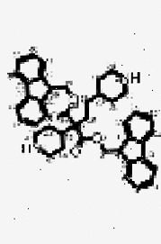 O=C(OCC1c2ccccc2-c2ccccc21)C(CCC1CCNCC1)(C(=O)OCC1c2ccccc2-c2ccccc21)C1CCNCC1